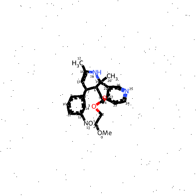 COCCOC(=O)C1C(c2cccc([N+](=O)[O-])c2)C=C(C)NC1(C)c1cccnc1